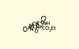 CCOC(=O)C1=CN(C(=O)c2nn(-c3ccccc3)nc2C)CCc2c1[nH]c1ccccc21